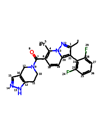 Cc1nn2c(C(C)C)c(C(=O)N3CCc4[nH]ncc4C3)ccc2c1-c1c(F)cccc1F